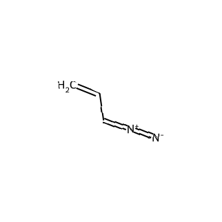 C=CC=[N+]=[N-]